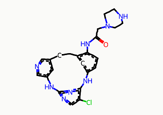 O=C(CN1CCNCC1)Nc1ccc2cc1CCc1cncc(c1)Nc1ncc(Cl)c(n1)N2